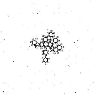 c1ccc(-c2ccc(N(c3ccc4c(c3)oc3ccccc34)c3cc(C4(c5ccccc5)c5ccccc5-c5ccccc54)cc4c3sc3ccc5ccccc5c34)cc2)cc1